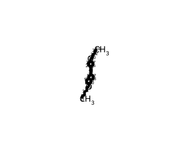 CCCCCCOc1ccc2cc(C#Cc3ccc(OCCCCC)cc3)ccc2c1